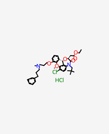 CCOC(=O)C[C@@H]1O[C@@H](c2cccc(OCCCN(C)CCCc3ccccc3)c2OC)c2cc(Cl)ccc2N(CC(C)(C)C)C1=O.Cl